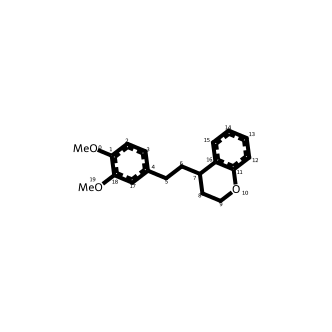 COc1ccc(CCC2CCOc3ccccc32)cc1OC